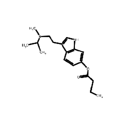 CCCC(=O)Oc1ccc2c(CCN(C)C(C)C)c[nH]c2c1